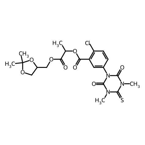 CC(OC(=O)c1cc(-n2c(=O)n(C)c(=S)n(C)c2=O)ccc1Cl)C(=O)OCC1COC(C)(C)O1